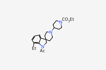 CCOC(=O)N1CCC(N2CCC3(CC2)CN(C(C)=O)c2c(CC)cccc23)CC1